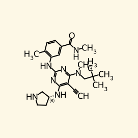 C#Cc1c(N[C@@H]2CCNC2)nc(Nc2cc(C(=O)NC)ccc2C)nc1N(C)CC(C)(C)C